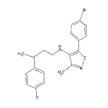 Cc1noc(-c2ccc(Br)cc2)c1NCCC(C)c1ccc(Cl)cc1